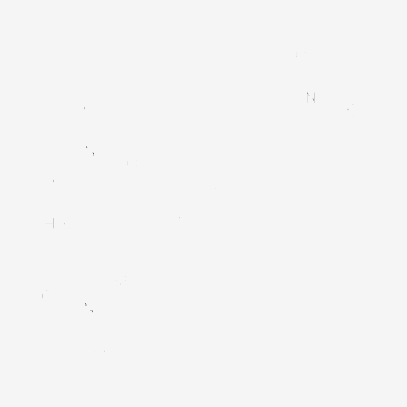 CC(O[N+](=O)[O-])C(Oc1ccc([N+](=O)[O-])cc1)O[N+](=O)[O-]